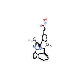 Cc1nc(-c2ccccc2)n([C@H](C)c2ccccc2)c1-c1cccc(/C=C/C(=O)NO)c1